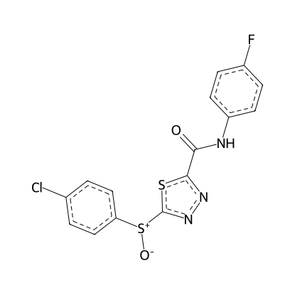 O=C(Nc1ccc(F)cc1)c1nnc([S+]([O-])c2ccc(Cl)cc2)s1